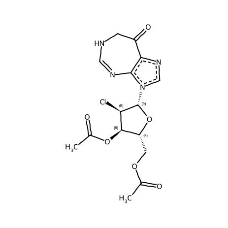 CC(=O)OC[C@H]1O[C@@H](n2cnc3c2N=CNCC3=O)[C@H](Cl)[C@@H]1OC(C)=O